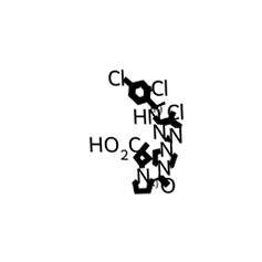 C[C@@H](Nc1nc(N2CCN(C(=O)[C@H]3CCCN3C3CC(C)(C(=O)O)C3)CC2)ncc1Cl)c1ccc(Cl)cc1Cl